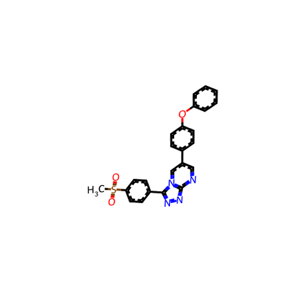 CS(=O)(=O)c1ccc(-c2nnc3ncc(-c4ccc(Oc5ccccc5)cc4)cn23)cc1